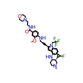 COc1cc(C(=O)NCCN2CCOCC2)ccc1NCC#Cc1cc2c(N[C@@H]3CCN(C)C[C@@H]3C3CC3F)cccc2n1CC(F)(F)F